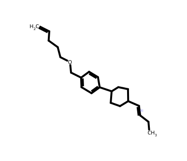 C=CCCCOCc1ccc(C2CCC(/C=C/CC)CC2)cc1